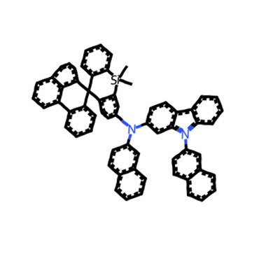 C[Si]1(C)c2ccccc2C2(c3ccccc3-c3cccc4cccc2c34)c2ccc(N(c3ccc4ccccc4c3)c3ccc4c5ccccc5n(-c5ccc6ccccc6c5)c4c3)cc21